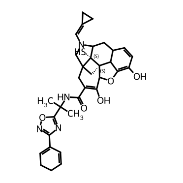 CC(C)(NC(=O)C1=C(O)C2OC3=C(O)C=CC4CC5N(C=C6CC6)CC6(C1)C[C@@]2(C34)[C@]56S)c1nc(C2=CCCC=C2)no1